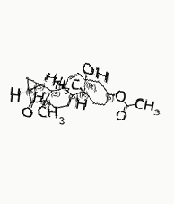 CC(=O)O[C@H]1CC[C@]2(C)[C@H]3CC[C@]4(C)C(=O)[C@H]5C[C@H]5[C@H]4[C@@H]3C=C[C@]2(O)C1